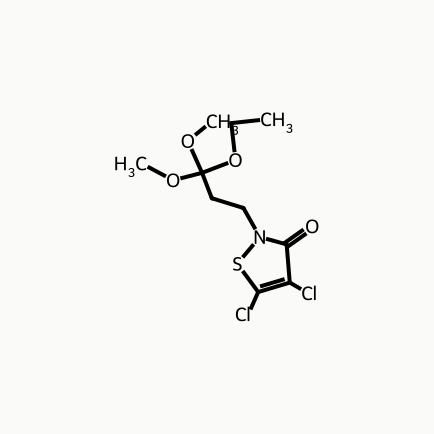 CCOC(CCn1sc(Cl)c(Cl)c1=O)(OC)OC